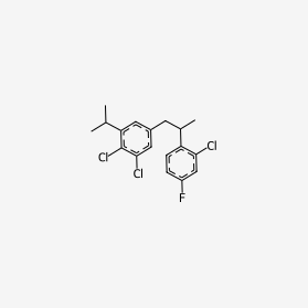 CC(C)c1cc(CC(C)c2ccc(F)cc2Cl)cc(Cl)c1Cl